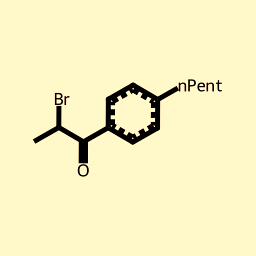 CCCCCc1ccc(C(=O)C(C)Br)cc1